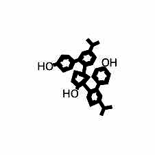 CC(C)c1ccc(-c2ccc(O)c(-c3ccc(C(C)C)cc3-c3ccc(O)cc3)c2)c(-c2ccc(O)cc2)c1